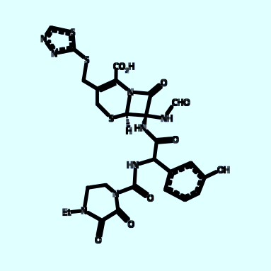 CCN1CCN(C(=O)NC(C(=O)N[C@]2(NC=O)C(=O)N3C(C(=O)O)=C(CSc4nncs4)CS[C@@H]32)c2cccc(O)c2)C(=O)C1=O